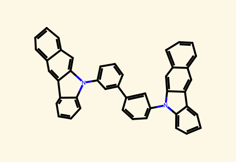 c1cc(-c2cccc(-n3c4ccccc4c4cc5ccccc5cc43)c2)cc(-n2c3ccccc3c3cc4ccccc4cc32)c1